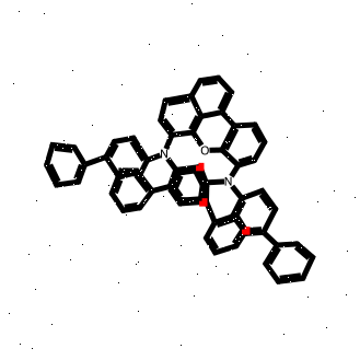 c1ccc(-c2ccc(N(c3ccc(-c4ccccc4)cc3)c3cccc4c3Oc3c(N(c5ccc(-c6ccccc6)cc5)c5ccc(-c6ccccc6)cc5)ccc5cccc-4c35)cc2)cc1